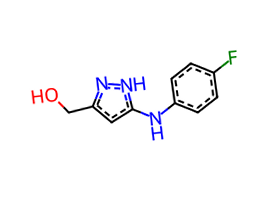 OCc1cc(Nc2ccc(F)cc2)[nH]n1